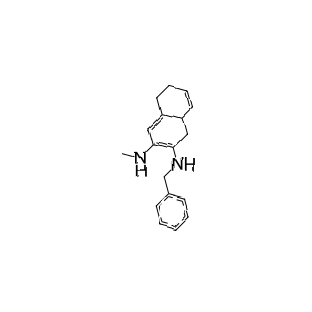 CNC1=C(NCc2ccccc2)CC2C=CCCC2=C1